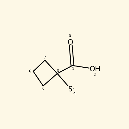 O=C(O)C1([S])CCC1